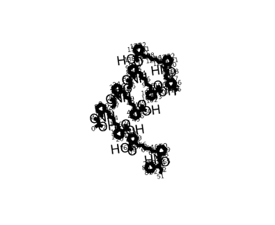 CC(O)C(=O)Nc1ccccc1CCCCCc1ccccc1C(=O)O.CCC(=O)Nc1ccccc1CCCCCc1ccccc1C(=O)O.CCC(C(=O)Nc1ccccc1CCCCCc1ccccc1C(=O)O)c1ccccc1.O=C(CO)Nc1ccccc1CCCCCc1ccccc1C(=O)O.O=C(Cc1ccc(F)cc1)Nc1ccccc1CCCCCc1ccccc1C(=O)O